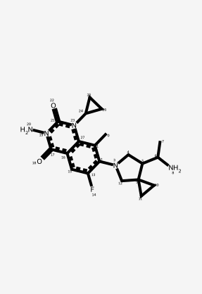 Cc1c(N2CC(C(C)N)C3(CC3)C2)c(F)cc2c(=O)n(N)c(=O)n(C3CC3)c12